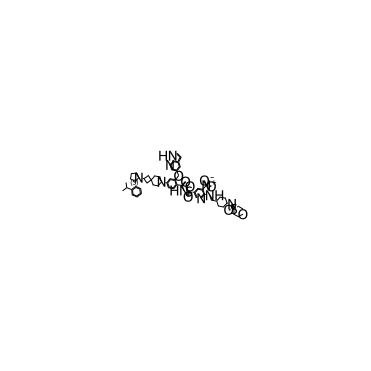 CC(C)c1ccccc1[C@@H]1CCCN1C1CC2(CCN(c3ccc(C(=O)NS(=O)(=O)c4cnc(NCC5CCC(N=S6(=O)CCOCC6)CC5)c([N+](=O)[O-])c4)c(Oc4cnc5[nH]ccc5c4)c3)CC2)C1